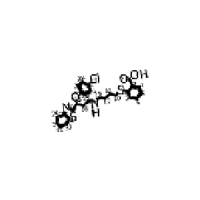 O=C(O)c1ccccc1SCCCCNCCC(Oc1ccc(Cl)cc1)c1nc2ccccc2s1